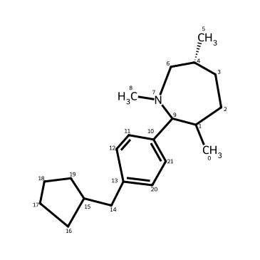 CC1CC[C@@H](C)CN(C)C1c1ccc(CC2CCCC2)cc1